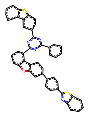 c1ccc(-c2nc(-c3ccc4sc5ccccc5c4c3)nc(-c3cccc4oc5cc(-c6ccc(-c7nc8ccccc8s7)cc6)ccc5c34)n2)cc1